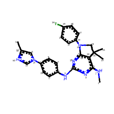 CNc1nc(Nc2ccc(-n3cnc(C)c3)cc2)nc2c1C(C)(C)CN2c1ccc(F)cc1